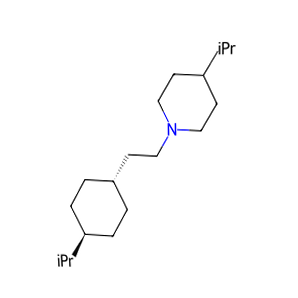 CC(C)C1CCN(CC[C@H]2CC[C@H](C(C)C)CC2)CC1